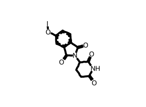 O=C1CCC(N2C(=O)c3ccc(OI)cc3C2=O)C(=O)N1